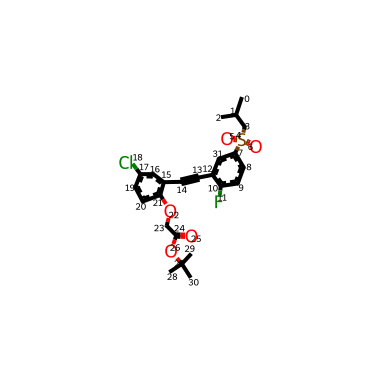 CC(C)CS(=O)(=O)c1ccc(F)c(C#Cc2cc(Cl)ccc2OCC(=O)OC(C)(C)C)c1